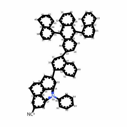 N#Cc1cc2ccc3cc(-c4ccc(-c5ccc6c(-c7cccc8ccccc78)c7ccccc7c(-c7cccc8ccccc78)c6c5)c5ccccc45)cc4c3c2c(c1)n4-c1ccccc1